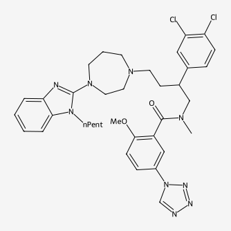 CCCCCn1c(N2CCCN(CCC(CN(C)C(=O)c3cc(-n4cnnn4)ccc3OC)c3ccc(Cl)c(Cl)c3)CC2)nc2ccccc21